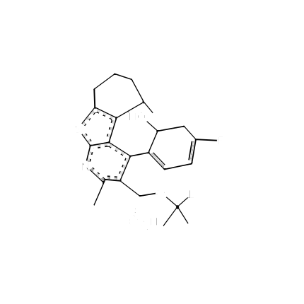 CCC1=CC=C(c2c([C@H](OC(C)(C)CC)C(=O)O)c(C)nc3sc4c(c23)C(C)CCC4)C(O)C1